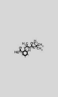 C[C@H](Cc1ccccc1C(=O)O)NC(=O)OC(C)(C)C